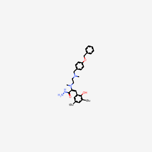 CN(CCN(C)C(=Cc1cc(C(C)(C)C)cc(C(C)(C)C)c1O)C(=O)NN)Cc1ccc(OCc2ccccc2)cc1